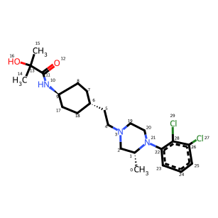 C[C@@H]1CN(CC[C@H]2CC[C@H](NC(=O)C(C)(C)O)CC2)CCN1c1cccc(Cl)c1Cl